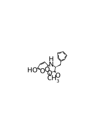 COC(=O)[C@H](Cc1ccccc1)NC(=O)/C=C\C(=O)O